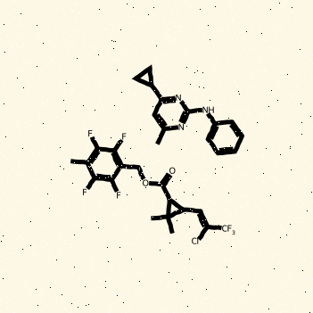 Cc1c(F)c(F)c(COC(=O)C2C(/C=C(\Cl)C(F)(F)F)C2(C)C)c(F)c1F.Cc1cc(C2CC2)nc(Nc2ccccc2)n1